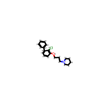 Clc1c(OCCCN2CCCCC2)cccc1-c1ccccc1